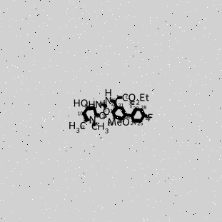 CCOC(=O)C[C@H](NC(=O)Nc1c(O)cc(C)n(C)c1=O)c1cc(OC)cc(-c2ccc(F)cc2F)c1